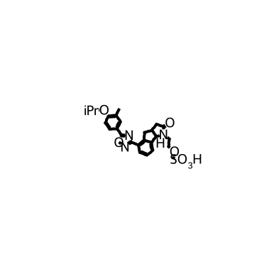 Cc1cc(-c2nc(-c3cccc4c3CC3CC(=O)N(CCOS(=O)(=O)O)[C@H]43)no2)ccc1OC(C)C